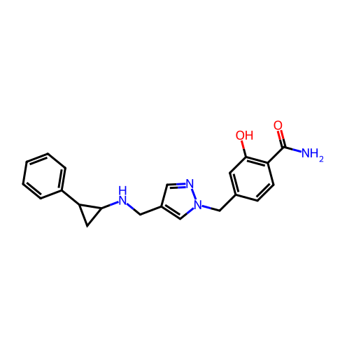 NC(=O)c1ccc(Cn2cc(CNC3CC3c3ccccc3)cn2)cc1O